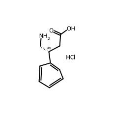 Cl.NC[C@H](CC(=O)O)c1ccccc1